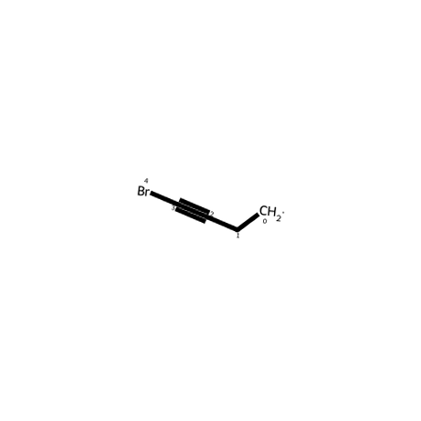 [CH2]CC#CBr